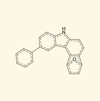 c1ccc(-c2ccc3[nH]c4ccc5c6ccc(o6)c5c4c3c2)cc1